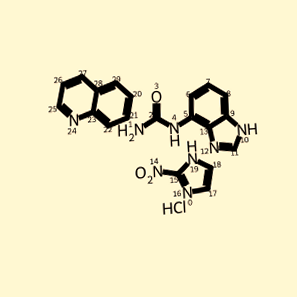 Cl.NC(=O)Nc1cccc2[nH]cnc12.O=[N+]([O-])c1ncc[nH]1.c1ccc2ncccc2c1